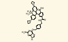 C[Si]1(C)C2=CC(=[N+]3CCC3)C=CC2=C(c2cc(C(=O)NCc3ccc(COc4nc(N)nc5[nH]cnc45)cc3)ccc2C(=O)O)c2ccc(N3CCC3)cc21